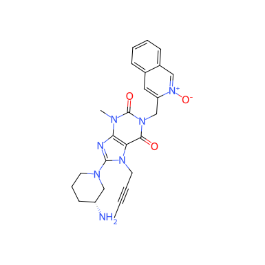 CC#CCn1c(N2CCC[C@@H](N)C2)nc2c1c(=O)n(Cc1cc3ccccc3c[n+]1[O-])c(=O)n2C